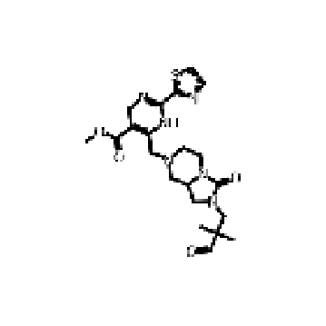 COC(=O)C1=C(CN2CCN3C(=O)N(CC(C)(C)C=O)CC3C2)NC(c2nccs2)=NC1